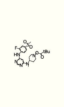 CN(c1cc(Nc2ccc(S(C)(=O)=O)cc2F)ncn1)C1CCN(OC(=O)C(C)(C)C)CC1